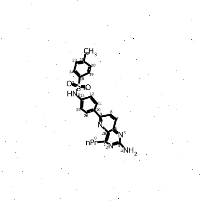 CCCc1nc(N)nc2ccc(-c3ccc(NS(=O)(=O)c4ccc(C)cc4)cc3)nc12